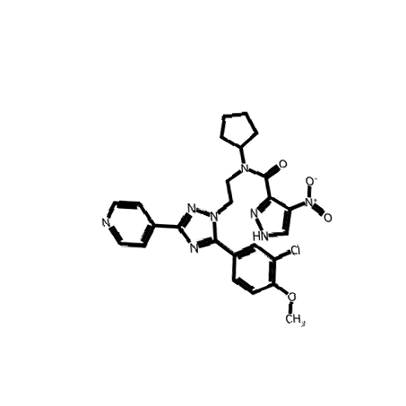 COc1ccc(-c2nc(-c3ccncc3)nn2CCN(C(=O)c2n[nH]cc2[N+](=O)[O-])C2CCCC2)cc1Cl